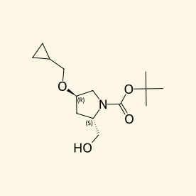 CC(C)(C)OC(=O)N1C[C@H](OCC2CC2)C[C@H]1CO